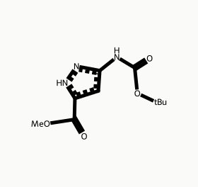 COC(=O)c1cc(NC(=O)OC(C)(C)C)n[nH]1